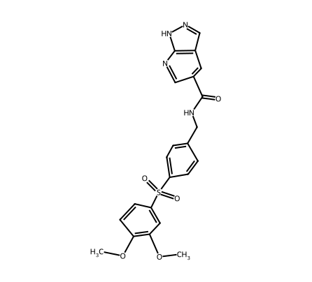 COc1ccc(S(=O)(=O)c2ccc(CNC(=O)c3cnc4[nH]ncc4c3)cc2)cc1OC